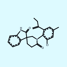 C=C(CC)c1cc(C)cc(Cl)c1N1CC2(CCC1=O)C(=O)Nc1ccccc12